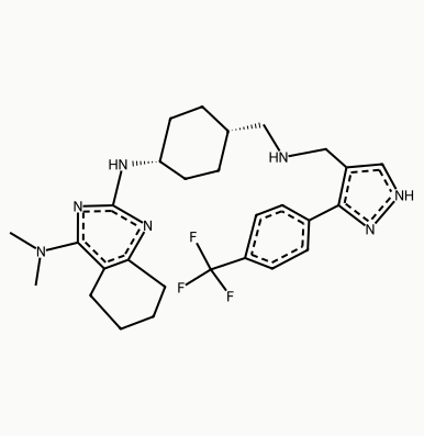 CN(C)c1nc(N[C@H]2CC[C@@H](CNCc3c[nH]nc3-c3ccc(C(F)(F)F)cc3)CC2)nc2c1CCCC2